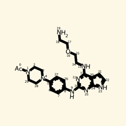 CC(=O)N1CCN(c2ccc(Nc3nc(NCCOCCN)c4cc[nH]c4n3)cc2)CC1